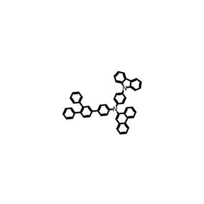 c1ccc(-c2ccc(-c3ccc(N(c4ccc(-n5c6ccccc6c6ccccc65)cc4)c4cc5ccccc5c5ccccc45)cc3)cc2-c2ccccc2)cc1